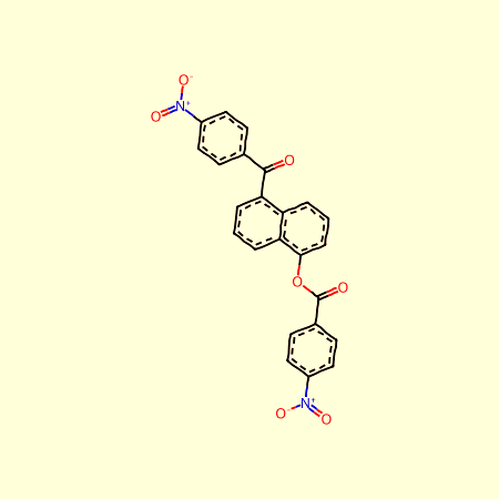 O=C(Oc1cccc2c(C(=O)c3ccc([N+](=O)[O-])cc3)cccc12)c1ccc([N+](=O)[O-])cc1